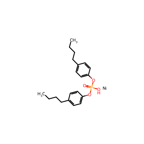 CCCCc1ccc(OP(=O)(O)Oc2ccc(CCCC)cc2)cc1.[Ni]